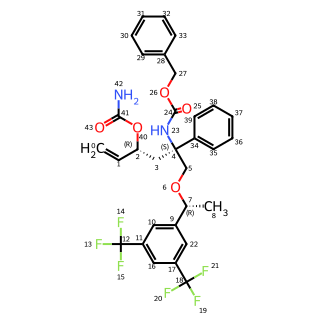 C=C[C@@H](C[C@](CO[C@H](C)c1cc(C(F)(F)F)cc(C(F)(F)F)c1)(NC(=O)OCc1ccccc1)c1ccccc1)OC(N)=O